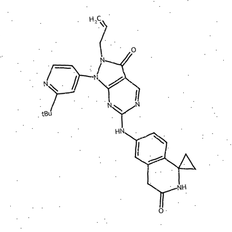 C=CCn1c(=O)c2cnc(Nc3ccc4c(c3)CC(=O)NC43CC3)nc2n1-c1ccnc(C(C)(C)C)c1